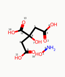 NO.O=C(O)CC(O)(CC(=O)O)C(=O)O